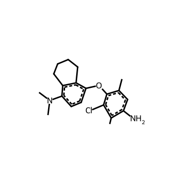 Cc1cc(N)c(C)c(Cl)c1Oc1ccc(N(C)C)c2c1CCCC2